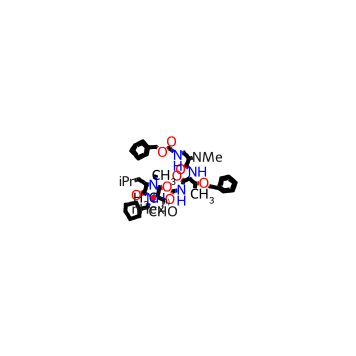 CCCCCC[C@@H](OCNC(=O)C(NC(=O)C(CNC(=O)OCc1ccccc1)NC)C(C)OCc1ccccc1)C(C)C(=O)N(C)C(CC(C)C)C(=O)NC(C=O)C1CCCCC1